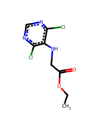 CCOC(=O)CNc1c(Cl)ncnc1Cl